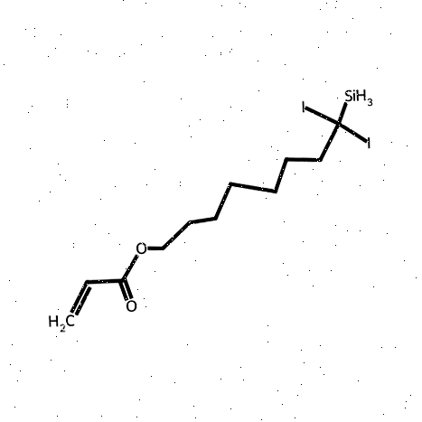 C=CC(=O)OCCCCCCCC([SiH3])(I)I